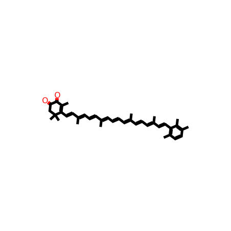 CC1=C(/C=C/C(C)=C/C=C/C(C)=C/C=C/C=C(C)/C=C/C=C(C)/C=C/c2c(C)ccc(C)c2C)C(C)(C)CC(=O)C1=O